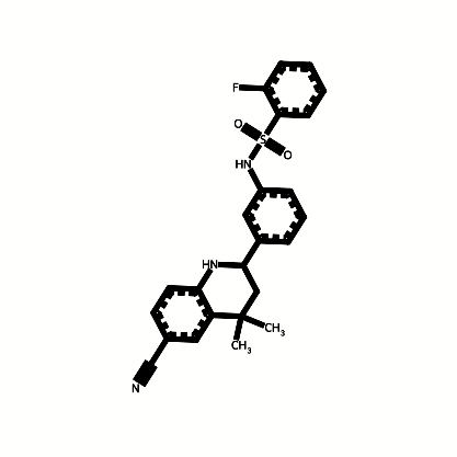 CC1(C)CC(c2cccc(NS(=O)(=O)c3ccccc3F)c2)Nc2ccc(C#N)cc21